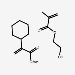 C=C(C(=O)OC)C1CCCCC1.C=C(C)C(=O)OCCO